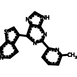 Cc1cccc(-c2nc(-c3csc4cnccc34)c3nc[nH]c3n2)n1